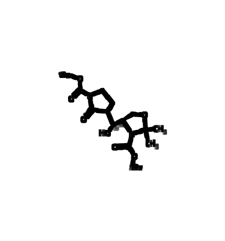 CCCCOC(=O)N1[C@@H]([C@@H](O)C2CCN(C(=O)OC(C)(C)C)C2=O)COC1(C)C